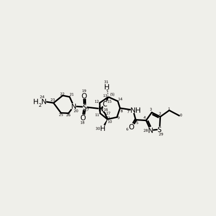 CCc1cc(C(=O)NC2C[C@@H]3CC[C@@H](C2)CN(S(=O)(=O)N2CCC(N)CC2)C3)ns1